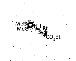 CCOC(=O)c1cn(CC)c(SCCNc2ccc(OC)c(OC)c2)n1